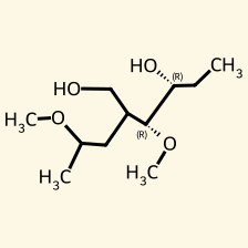 CC[C@@H](O)[C@H](OC)C(CO)CC(C)OC